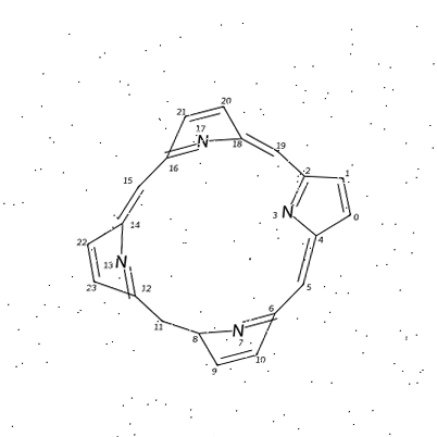 C1=CC2=NC1=CC1=NC(C=C1)CC1=NC(=CC3=NC(=C2)C=C3)C=C1